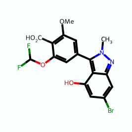 COc1cc(-c2c3c(O)cc(Br)cc3nn2C)cc(OC(F)F)c1C(=O)O